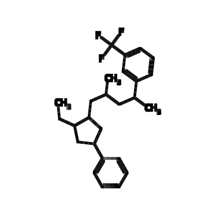 CCC1CC(c2ccccc2)CC1CC(C)CC(C)c1cccc(C(F)(F)F)c1